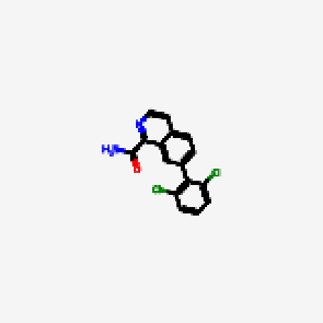 NC(=O)c1n[c]cc2ccc(-c3c(Cl)cccc3Cl)cc12